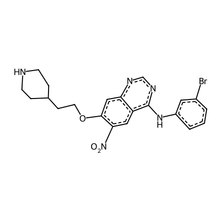 O=[N+]([O-])c1cc2c(Nc3cccc(Br)c3)ncnc2cc1OCCC1CCNCC1